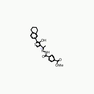 COC(=O)c1ccc(C(=O)N/N=C(\C)c2csc(-c3ccc4c(c3)CCCC4)c2O)cc1